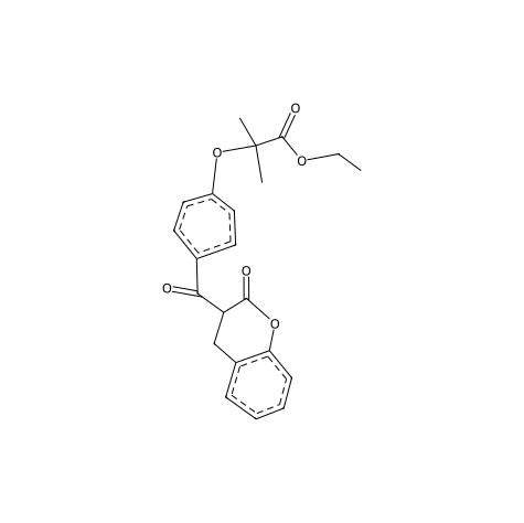 CCOC(=O)C(C)(C)Oc1ccc(C(=O)C2Cc3ccccc3OC2=O)cc1